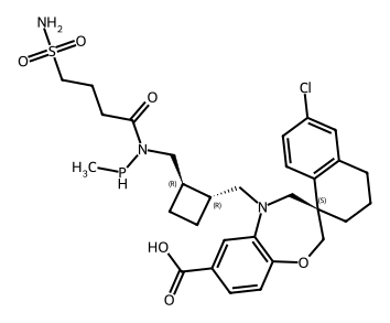 CPN(C[C@@H]1CC[C@H]1CN1C[C@@]2(CCCc3cc(Cl)ccc32)COc2ccc(C(=O)O)cc21)C(=O)CCCS(N)(=O)=O